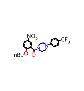 CCCCOc1ccc([N+](=O)[O-])cc1C(=O)N1CCN(c2ccc(C(F)(F)F)cc2)CC1